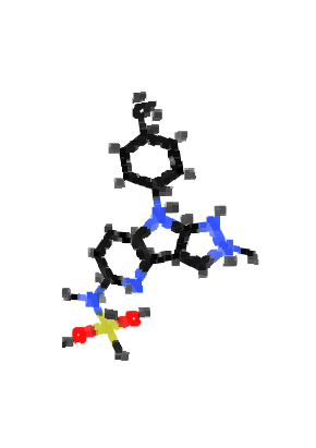 CN(c1ccc2c(n1)c1cn(C)nc1n2-c1ccc(C(F)(F)F)cc1)S(C)(=O)=O